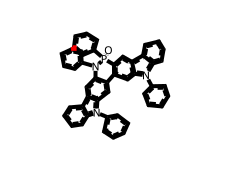 O=P1(c2ccccc2)c2cc3c4ccccc4n(-c4ccccc4)c3cc2-c2cc3c(cc2N1c1ccccc1)c1ccccc1n3-c1ccccc1